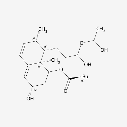 CC[C@H](C)C(=O)OC1C[C@H](O)C=C2C=C[C@H](C)[C@H](CCC(O)OC(C)O)[C@]21C